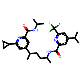 CC(C)NC(=O)c1cc(C(C)CCC(C)NC(=O)c2cc(C(C)C)cc(C(F)(F)F)n2)cc(C2CC2)n1